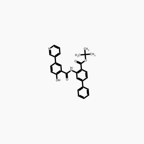 CC(C)(C)OC(=O)c1ccc(-c2ccccc2)cc1NC(=O)c1cc(-c2cccnc2)ccc1O